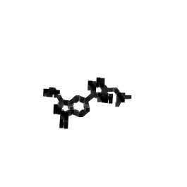 CCCc1n[nH]c2ccc(-c3nnc(CN(C)C)[nH]3)cc12